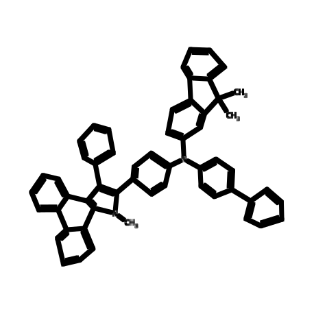 Cn1c(-c2ccc(N(c3ccc(-c4ccccc4)cc3)c3ccc4c(c3)C(C)(C)c3ccccc3-4)cc2)c(-c2ccccc2)c2c3ccccc3c3ccccc3c21